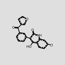 O=C(c1ccoc1)c1cccc(-c2c(O)c3ccc(Cl)cc3[nH]c2=O)c1